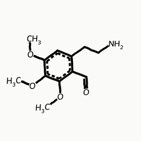 COc1cc(CCN)c(C=O)c(OC)c1OC